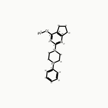 CC(C)Oc1nc(N2CCN(c3ccccc3)CC2)nc2c1CCC2